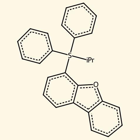 CC(C)S(c1ccccc1)(c1ccccc1)c1cccc2c1oc1ccccc12